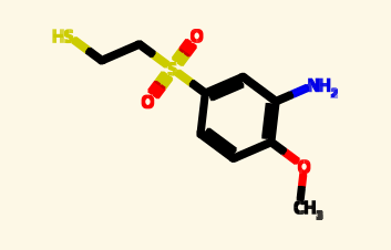 COc1ccc(S(=O)(=O)CCS)cc1N